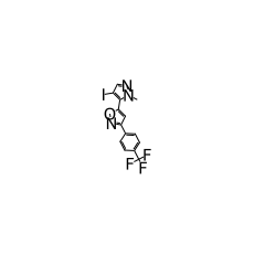 Cn1ncc(I)c1-c1cc(-c2ccc(C(F)(F)F)cc2)no1